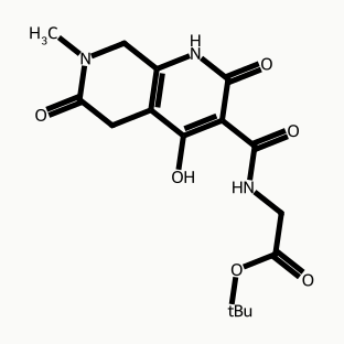 CN1Cc2[nH]c(=O)c(C(=O)NCC(=O)OC(C)(C)C)c(O)c2CC1=O